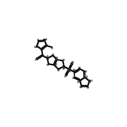 Cc1ncsc1C(=O)N1CC2=C(C1)CN(S(=O)(=O)c1ccc3occc3c1)C2